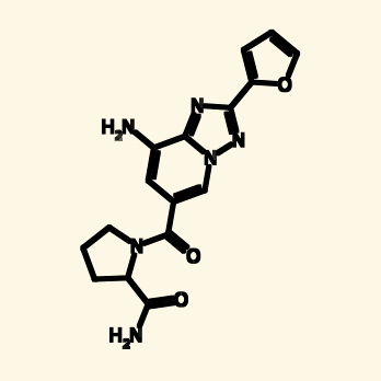 NC(=O)C1CCCN1C(=O)c1cc(N)c2nc(-c3ccco3)nn2c1